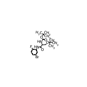 CC(C)(C)OCC(NC(=O)OC(C)(C)C)C(=O)Nc1cc(Br)ccc1F